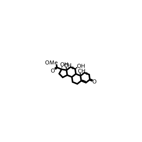 COC(=O)[C@]1(O)CCC2C3CCC4=CC(=O)CC[C@@]4(C)C3[C@H](O)C[C@]21C